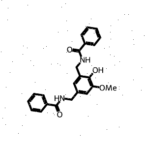 COc1cc(CNC(=O)c2ccccc2)cc(CNC(=O)c2ccccc2)c1O